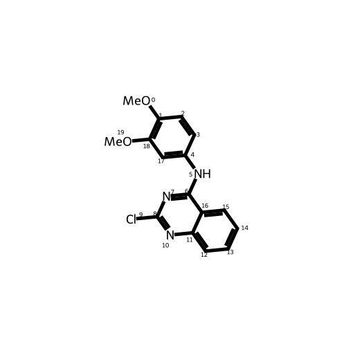 COc1ccc(Nc2nc(Cl)nc3ccccc23)cc1OC